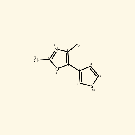 Cc1nc(Cl)oc1-c1ccsc1